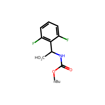 CCCCOC(=O)NC(C(=O)O)c1c(F)cccc1F